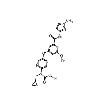 CC(C)OC(=O)N(CC1CC1)c1cnc(Oc2cc(OC(C)C)cc(C(=O)Nc3ccn(C)n3)c2)cn1